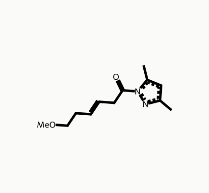 COCC/C=C/CC(=O)n1nc(C)cc1C